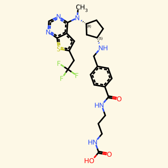 CN(c1ncnc2sc(CC(F)(F)F)cc12)[C@@H]1CC[C@H](NCc2ccc(C(=O)NCCCNC(=O)O)cc2)C1